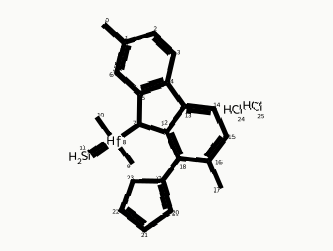 Cc1ccc2c(c1)[CH]([Hf]([CH3])([CH3])=[SiH2])c1c-2ccc(C)c1C1=CC=CC1.Cl.Cl